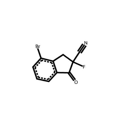 N#CC1(F)Cc2c(Br)cccc2C1=O